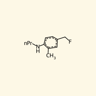 CCCNc1ccc(CF)cc1C